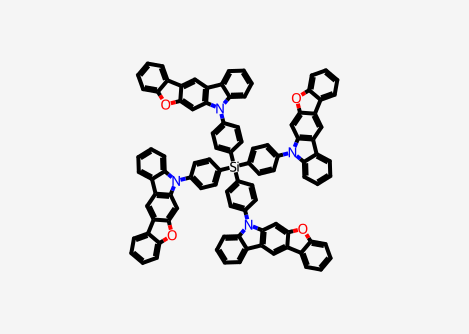 c1ccc2c(c1)oc1cc3c(cc12)c1ccccc1n3-c1ccc([Si](c2ccc(-n3c4ccccc4c4cc5c(cc43)oc3ccccc35)cc2)(c2ccc(-n3c4ccccc4c4cc5c(cc43)oc3ccccc35)cc2)c2ccc(-n3c4ccccc4c4cc5c(cc43)oc3ccccc35)cc2)cc1